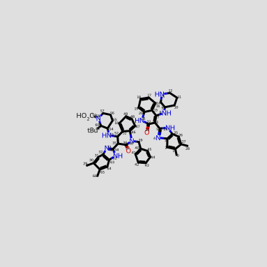 Cc1cc2nc(-c3c(NC4CCCNC4)c4ccccc4[nH]c3=O)[nH]c2cc1C.Cc1cc2nc(C3C(=O)N(Cc4ccccc4)c4ccccc4C3NC3CCCN(C(=O)O)C3C(C)(C)C)[nH]c2cc1C